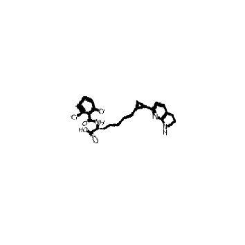 O=C(N[C@@H](CCCCCC1CC1c1ccc2c(n1)NCCC2)C(=O)O)c1c(Cl)cccc1Cl